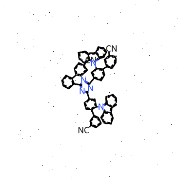 N#Cc1ccc(-c2ccccc2-c2nc(-c3ccc(-c4cccc(C#N)c4)c(-n4c5ccccc5c5ccccc54)c3)nc(-c3ccc(-c4cccc(C#N)c4)c(-n4c5ccccc5c5ccccc54)c3)n2)cc1